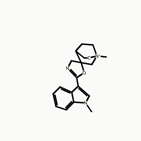 Cn1cc(C2=NCC3(C[N+]4(C)CCC3CC4)O2)c2ccccc21